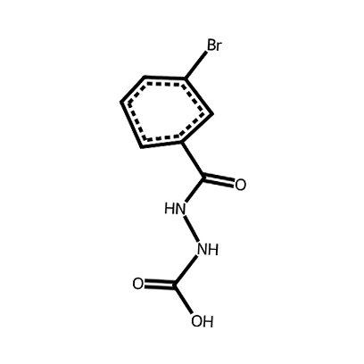 O=C(O)NNC(=O)c1cccc(Br)c1